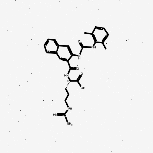 Cc1cccc(C)c1NC(=O)Nc1cc2ccccc2cc1C(=O)N[C@@H](CCCNC(=N)N)C(=O)O